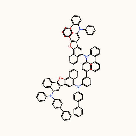 c1ccc(-c2ccc(N(c3ccccc3)c3cc4c5cc(N(c6ccc(-c7ccccc7)cc6)c6cccc(-c7ccc(N(c8ccccc8-c8ccccc8)c8cc9c%10cc(N(c%11ccccc%11)c%11ccccc%11-c%11ccccc%11)c%11ccccc%11c%10oc9c9ccccc89)cc7)c6)c6ccccc6c5oc4c4ccccc34)cc2)cc1